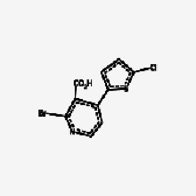 O=C(O)c1c(-c2ccc(Cl)s2)ccnc1Br